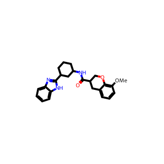 COc1cccc2c1OCC(C(=O)NC1CCCC(c3nc4ccccc4[nH]3)C1)C2